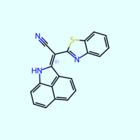 N#C/C(c1nc2ccccc2s1)=c1\[nH]c2cccc3cccc1c32